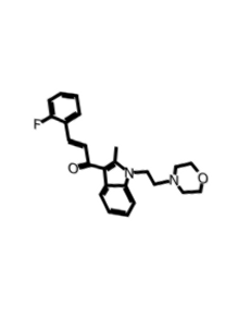 Cc1c(C(=O)/C=C/c2ccccc2F)c2ccccc2n1CCN1CCOCC1